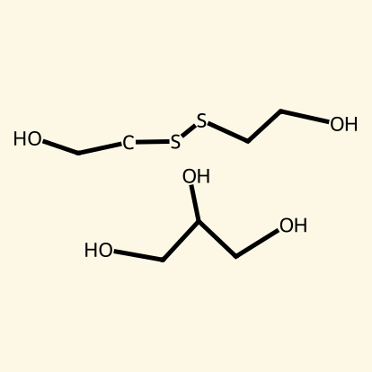 OCC(O)CO.OCCSSCCO